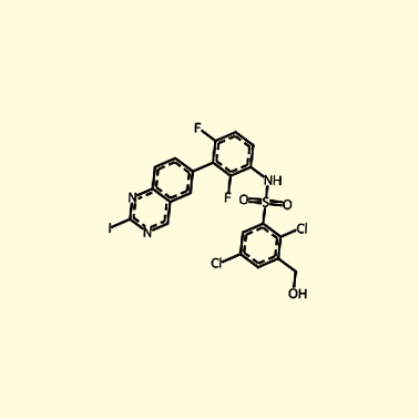 O=S(=O)(Nc1ccc(F)c(-c2ccc3nc(I)ncc3c2)c1F)c1cc(Cl)cc(CO)c1Cl